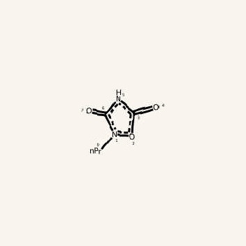 CCCn1oc(=O)[nH]c1=O